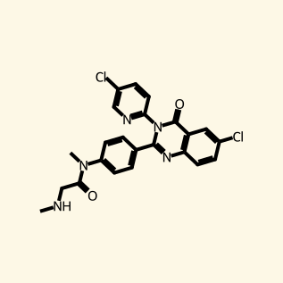 CNCC(=O)N(C)c1ccc(-c2nc3ccc(Cl)cc3c(=O)n2-c2ccc(Cl)cn2)cc1